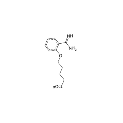 CCCCCCCCCCCCOc1ccccc1C(=N)N